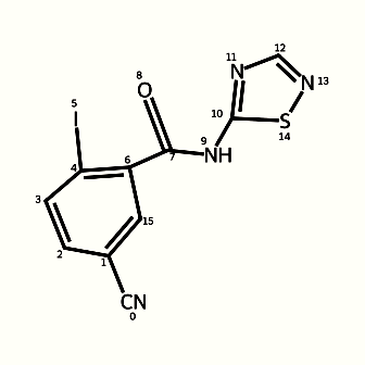 N#Cc1ccc(I)c(C(=O)Nc2ncns2)c1